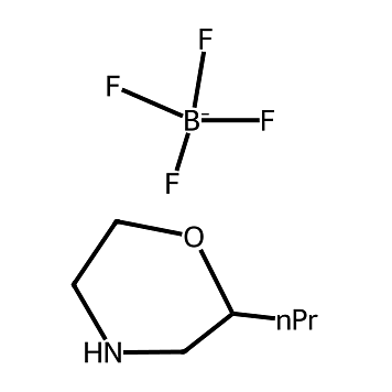 CCCC1CNCCO1.F[B-](F)(F)F